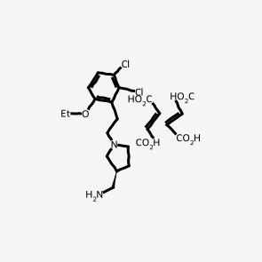 CCOc1ccc(Cl)c(Cl)c1CCN1CC[C@@H](CN)C1.O=C(O)/C=C/C(=O)O.O=C(O)/C=C/C(=O)O